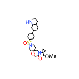 COCC1(N2CC3(CCN([S+]([O-])C4=CCC(C5CCC6CCCNC6C5)CC4)CC3)OCC2=O)CC1